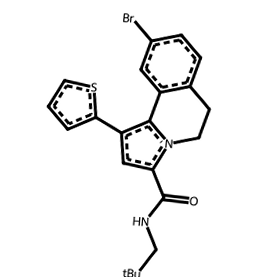 CC(C)(C)CNC(=O)c1cc(-c2cccs2)c2n1CCc1ccc(Br)cc1-2